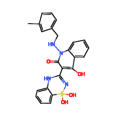 Cc1cccc(CNn2c(=O)c(C3=NS(O)(O)c4ccccc4N3)c(O)c3ccccc32)c1